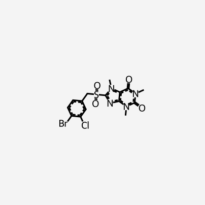 Cn1c(=O)c2c(nc(S(=O)(=O)Cc3ccc(Br)c(Cl)c3)n2C)n(C)c1=O